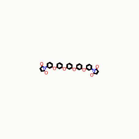 O=C1C=CC(=O)N1c1cccc(Oc2cccc(Oc3cccc(Oc4cccc(Oc5cccc(N6C(=O)C=CC6=O)c5)c4)c3)c2)c1